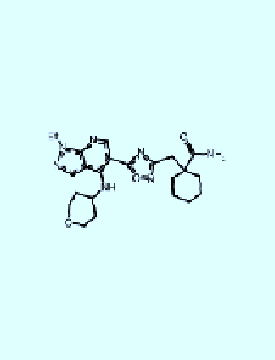 CCn1ncc2c(NC3CCOCC3)c(-c3nc(CC4(C(N)=O)CCCCC4)no3)cnc21